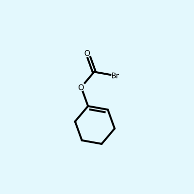 O=C(Br)OC1=CCCCC1